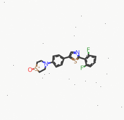 [O-][S+]1CCN(c2ccc(-c3cnc(-c4c(F)cccc4F)s3)cc2)CC1